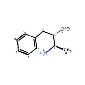 C[C@@H](N)[C@@H](C=O)Cc1ccccc1